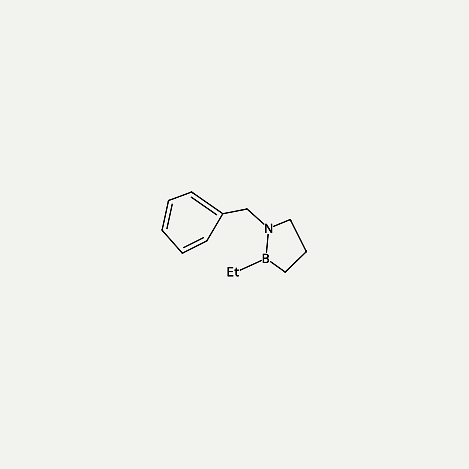 CCB1CCCN1Cc1ccccc1